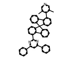 Cc1cncc(C)c1-c1cccc2c1-c1ccccc1C21c2ccccc2-c2c(-c3nc(-c4ccccc4)cc(-c4ccccc4)n3)cccc21